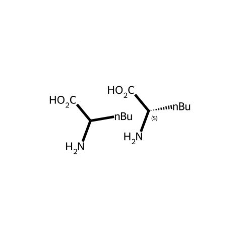 CCCCC(N)C(=O)O.CCCC[C@H](N)C(=O)O